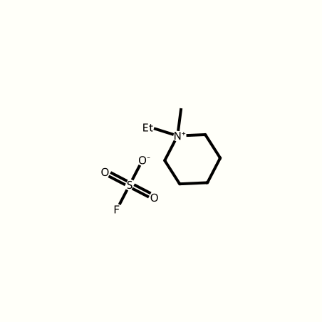 CC[N+]1(C)CCCCC1.O=S(=O)([O-])F